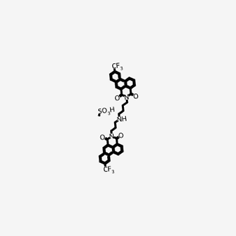 CS(=O)(=O)O.O=C1c2cccc3c2c(cc2ccc(C(F)(F)F)cc23)C(=O)N1CCCCNCCCN1C(=O)c2cccc3c2c(cc2ccc(C(F)(F)F)cc23)C1=O